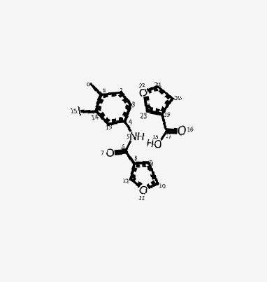 Cc1ccc(NC(=O)c2ccoc2)cc1I.O=C(O)c1ccoc1